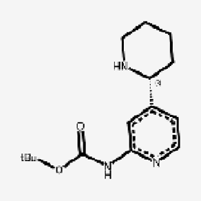 CC(C)(C)OC(=O)Nc1cc([C@H]2CCCCN2)ccn1